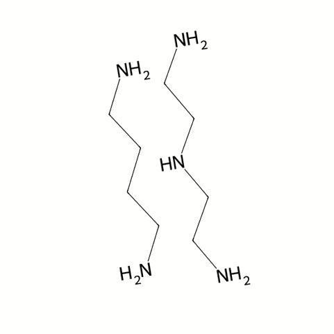 NCCCCN.NCCNCCN